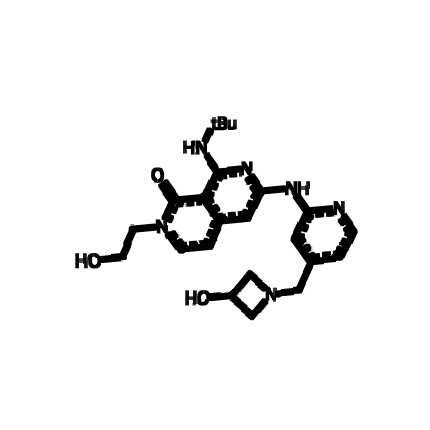 CC(C)(C)Nc1nc(Nc2cc(CN3CC(O)C3)ccn2)cc2ccn(CCO)c(=O)c12